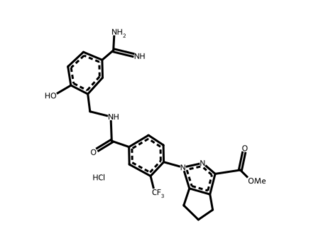 COC(=O)c1nn(-c2ccc(C(=O)NCc3cc(C(=N)N)ccc3O)cc2C(F)(F)F)c2c1CCC2.Cl